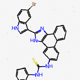 S=C(Nc1ccccc1)Nc1ccc2c3ccccc3c3nc(-c4c[nH]c5ccc(Br)cc45)[nH]c3c2c1